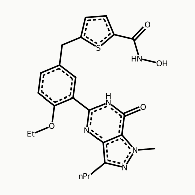 CCCc1nn(C)c2c(=O)[nH]c(-c3cc(Cc4ccc(C(=O)NO)s4)ccc3OCC)nc12